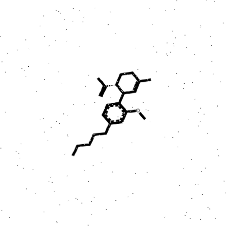 C=C(C)[C@@H]1CCC(C)=CC1c1[c]cc(CCCCC)cc1OC